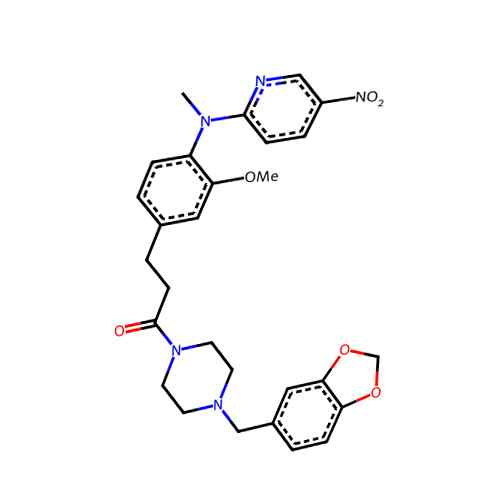 COc1cc(CCC(=O)N2CCN(Cc3ccc4c(c3)OCO4)CC2)ccc1N(C)c1ccc([N+](=O)[O-])cn1